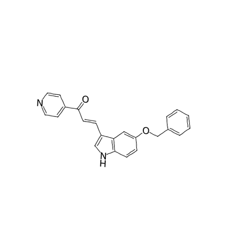 O=C(/C=C/c1c[nH]c2ccc(OCc3ccccc3)cc12)c1ccncc1